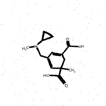 CN(CC1=CC(C)(C(=O)O)CC(C(=O)O)=C1)C1CC1